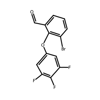 O=Cc1cccc(Br)c1Oc1cc(F)c(F)c(F)c1